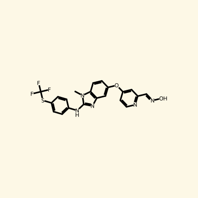 Cn1c(Nc2ccc(SC(F)(F)F)cc2)nc2cc(Oc3ccnc(C=NO)c3)ccc21